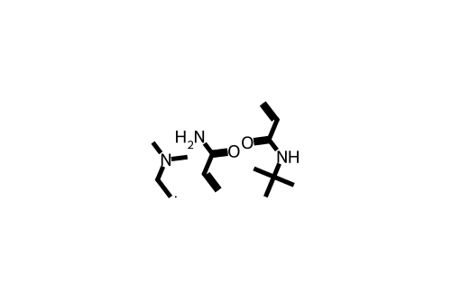 C=CC(=O)NC(C)(C)C.C=CC(N)=O.[CH2]CN(C)C